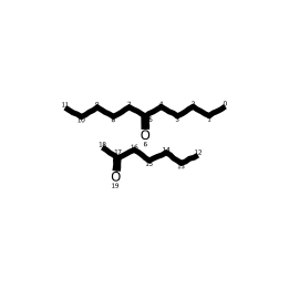 CCCCCC(=O)CCCCC.CCCCCC(C)=O